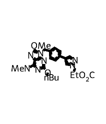 CCCCOc1nc(NC)c2nc(OC)n(Cc3ccc(-c4cnn(CC(=O)OCC)c4)cc3)c2n1